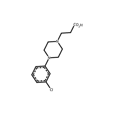 O=C(O)CCN1CCN(c2cccc(Cl)c2)CC1